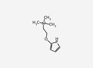 C[N+](C)(C)CCOc1ccc[pH]1